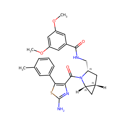 COc1cc(OC)cc(C(=O)NC[C@@H]2C[C@@H]3C[C@@H]3N2C(=O)c2nc(N)sc2-c2cccc(C)c2)c1